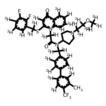 [2H]c1c([2H])c(F)c(F)c(C([2H])([2H])Sc2c([2H])c(=O)c3c([2H])c([2H])c([2H])c([2H])c3n2C([2H])([2H])C(=O)N(C2CCN(C([2H])([2H])C([2H])([2H])OC([2H])([2H])[2H])CC2)C([2H])([2H])c2c([2H])c([2H])c(-c3c([2H])c([2H])c(C(F)(F)F)c(C)c3[2H])c([2H])c2[2H])c1[2H]